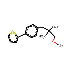 CC(C)(C)OCC(Cc1ccc(-c2cccs2)cc1)(C(=O)O)C(=O)O